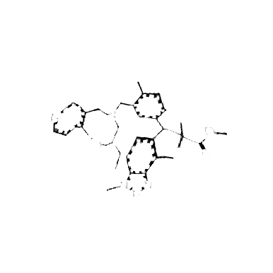 CC[C@@H]1CN(Cc2cc(C(c3ccc4c(nnn4C)c3C)C(C)(C)C(=O)OC)ccc2C)Cc2cnccc2O1